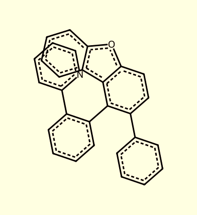 c1ccc(-c2ccc3oc4ccccc4c3c2-c2ccccc2-c2ccccn2)cc1